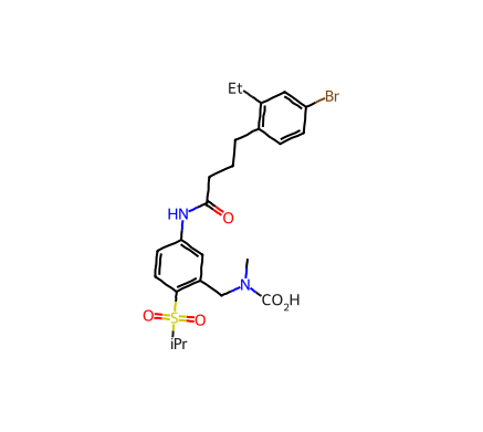 CCc1cc(Br)ccc1CCCC(=O)Nc1ccc(S(=O)(=O)C(C)C)c(CN(C)C(=O)O)c1